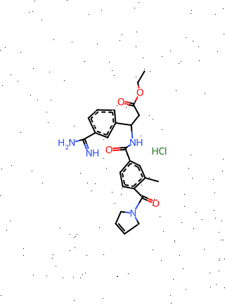 CCOC(=O)CC(NC(=O)c1ccc(C(=O)N2CC=CC2)c(C)c1)c1cccc(C(=N)N)c1.Cl